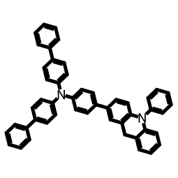 c1ccc(-c2ccc(N(c3ccc(-c4ccccc4)cc3)c3ccc(-c4ccc5c(c4)Cc4ccccc4N5c4ccccc4)cc3)cc2)cc1